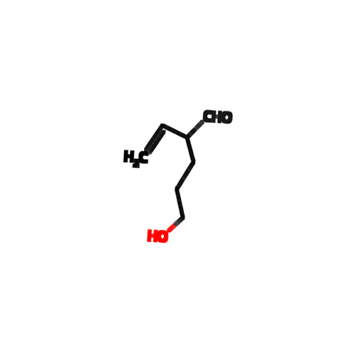 C=CC(C=O)CCCO